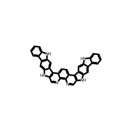 c1ccc2c(c1)[nH]c1cc3c(cc12)[nH]c1cnc2c(ccc4c2ncc2[nH]c5cc6c(cc5c24)[nH]c2ccccc26)c13